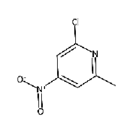 Cc1cc([N+](=O)[O-])cc(Cl)n1